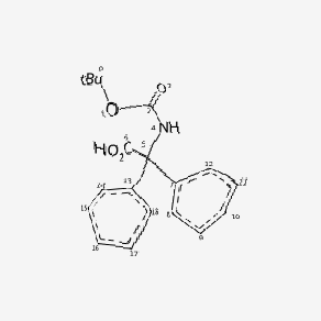 CC(C)(C)OC(=O)NC(C(=O)O)(c1ccccc1)c1ccccc1